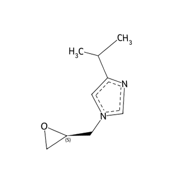 CC(C)c1cn(C[C@H]2CO2)cn1